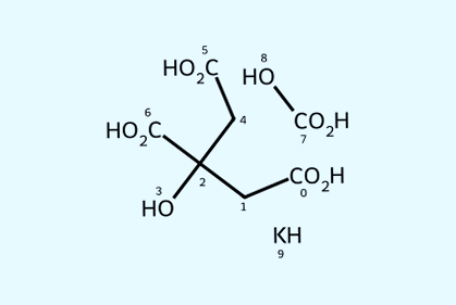 O=C(O)CC(O)(CC(=O)O)C(=O)O.O=C(O)O.[KH]